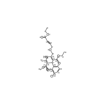 CCOC(=O)C#CCOCC1=C(C(=O)OCC)C(c2cccc(Cl)c2Cl)C(C(=O)OC)=C(C)N1